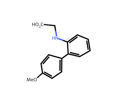 COc1ccc(-c2ccccc2NCC(=O)O)cc1